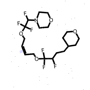 FC(CCC1CCOCC1)C(F)(F)OC/C=C\COC(F)(F)C(F)N1CCOCC1